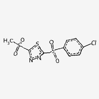 CS(=O)(=O)c1nnc(S(=O)(=O)c2ccc(Cl)cc2)s1